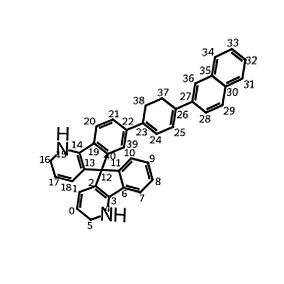 C1=CC2=C(NC1)c1ccccc1C21C2=C(NCC=C2)c2ccc(C3=CC=C(c4ccc5ccccc5c4)CC3)cc21